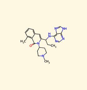 CCC(Nc1ncnc2[nH]cnc12)c1cc2cccc(C)c2c(=O)n1C1CCN(C)CC1